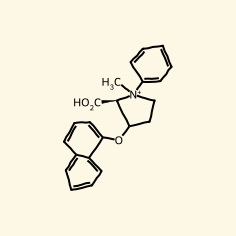 C[N+]1(c2ccccc2)CCC(Oc2cccc3ccccc23)[C@H]1C(=O)O